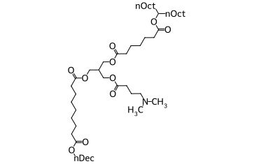 CCCCCCCCCCOC(=O)CCCCCCCC(=O)OCC(COC(=O)CCCCCC(=O)OC(CCCCCCCC)CCCCCCCC)COC(=O)CCCN(C)C